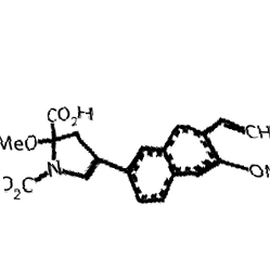 C=Cc1cc2cc(C3CN(C(=O)O)C(OC)(C(=O)O)C3)ccc2cc1OC